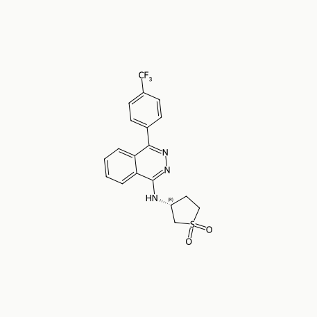 O=S1(=O)CC[C@@H](Nc2nnc(-c3ccc(C(F)(F)F)cc3)c3ccccc23)C1